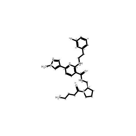 Cn1cc(-c2ccc(C(=O)NC[C@H]3CCCN3C(=O)CCCN)c(NCCc3cccc(F)c3)n2)cn1